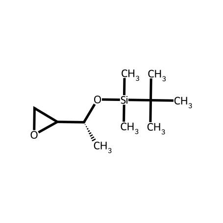 C[C@@H](O[Si](C)(C)C(C)(C)C)C1CO1